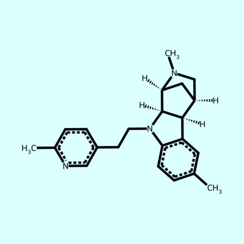 Cc1ccc2c(c1)[C@@H]1[C@H]3C[C@@H]([C@@H]1N2CCc1ccc(C)nc1)N(C)C3